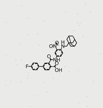 O=C(O)c1ccc(-c2ccc(F)cc2)cc1C(=O)Nc1ccc(NCC23CC4CC(CC(C4)C2)C3)c([N+](=O)[O-])c1